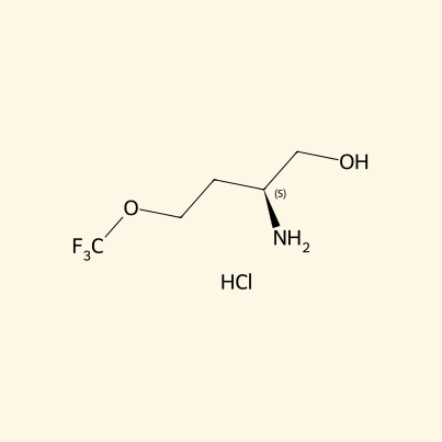 Cl.N[C@H](CO)CCOC(F)(F)F